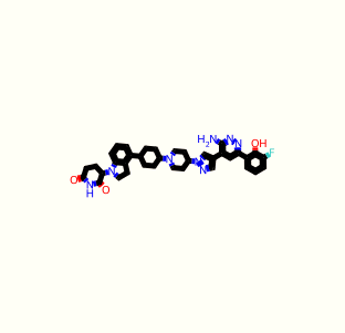 Nc1nnc(-c2cccc(F)c2O)cc1-c1cnn(C2CCN(C3CCC(c4cccc5c4CCN5C4CCC(=O)NC4=O)CC3)CC2)c1